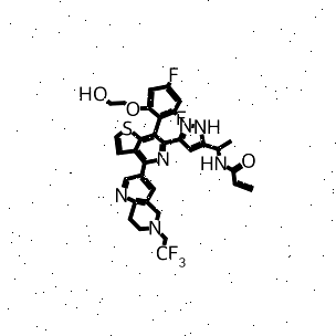 C=CC(=O)NC(C)c1cc(-c2nc(-c3cnc4c(c3)CN(CC(F)(F)F)CC4)c3ccsc3c2-c2c(F)cc(F)cc2OCCO)n[nH]1